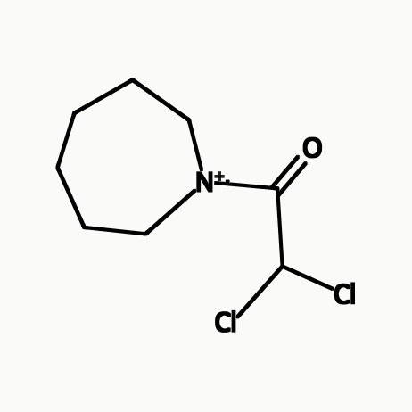 O=C(C(Cl)Cl)[N+]1CCCCCC1